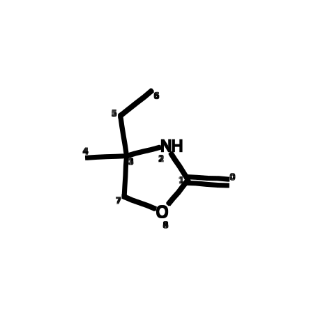 C=C1NC(C)(CC)CO1